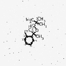 CC(C)(C)OOC(C)(C)c1ccccc1I